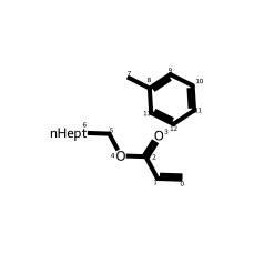 C=CC(=O)OCCCCCCCC.Cc1ccccc1